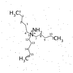 CCCCC[N+](N)(CCCCC)CCCCC